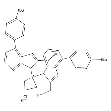 CC(C)CC1=Cc2c(-c3ccc(C(C)(C)C)cc3)cccc2[CH]1[Ti+2]1([CH]2C(CC(C)C)=Cc3c(-c4ccc(C(C)(C)C)cc4)cccc32)[CH2]C[CH2]1.[Cl-].[Cl-]